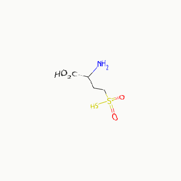 NC(CCS(=O)(=O)S)C(=O)O